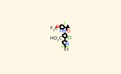 CCC(F)(F)c1ccc(-c2c(Cl)cc(NC(=O)C3(c4ccc(OC(F)(F)F)cc4F)CC3)cc2C(=O)O)cn1